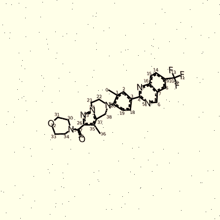 Cc1cc(-c2ncc3cc(C(F)(F)F)ccc3n2)ccc1N1CCn2nc(C(=O)N3CCOCC3)c(C)c2C1